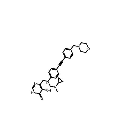 CN(C[C@@H](Cc1nc[nH]c(=O)c1O)c1ccc(C#Cc2ccc(CN3CCOCC3)cc2)cc1)C1CC1